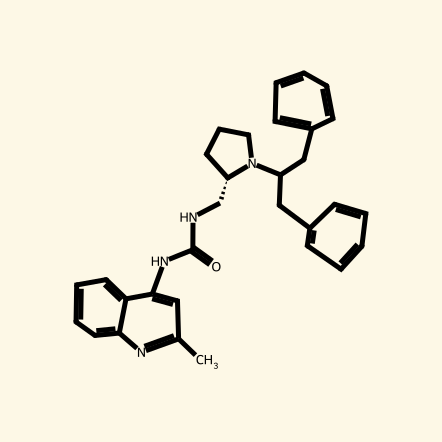 Cc1cc(NC(=O)NC[C@@H]2CCCN2C(Cc2ccccc2)Cc2ccccc2)c2ccccc2n1